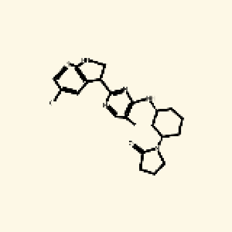 O=C1CCCN1[C@@H]1CCC[C@H](Nc2nc(C3CNc4ncc(Cl)cc43)ncc2F)C1